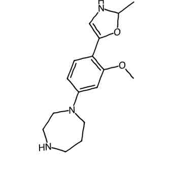 COc1cc(N2CCCNCC2)ccc1C1=CNC(C)O1